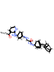 COC(=O)c1cccnc1Nc1ccc(NCC(=O)Nc2ccc(C34CC5CC(CC(C5)C3)C4)cc2)cc1